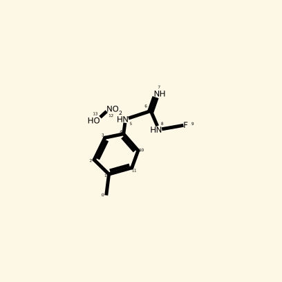 Cc1ccc(NC(=N)NF)cc1.O=[N+]([O-])O